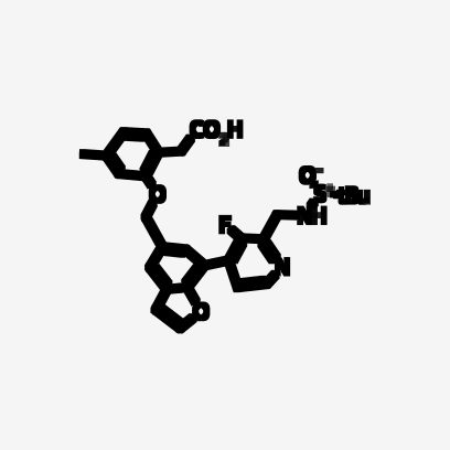 Cc1ccc(CC(=O)O)c(OCc2cc(-c3ccnc(CN[S@+]([O-])C(C)(C)C)c3F)c3occc3c2)c1